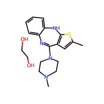 Cc1cc2c(s1)Nc1ccccc1N=C2N1CCN(C)CC1.OCCO